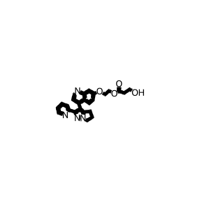 O=C(CCO)OCCOc1ccc2c(-c3c(-c4ccccn4)nn4c3CCC4)ccnc2c1